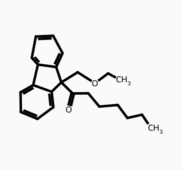 CCCCCCC(=O)C1(COCC)c2ccccc2-c2ccccc21